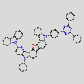 c1ccc(-c2nc(-c3ccccc3)nc(-c3ccc(-n4c5ccccc5c5c6oc7c(ccc8c7c7nc(-n9c%10ccccc%10c%10ccccc%109)ccc7n8-c7ccccc7)c6ccc54)cc3)n2)cc1